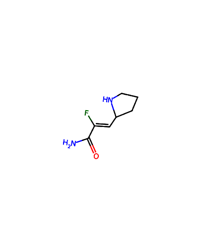 NC(=O)C(F)=CC1CCCN1